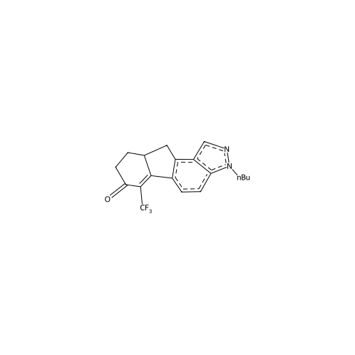 CCCCn1ncc2c3c(ccc21)C1=C(C(F)(F)F)C(=O)CCC1C3